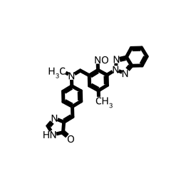 Cc1cc(CN(C)c2ccc(/C=C3\N=CNC3=O)cc2)c(N=O)c(-n2nc3ccccc3n2)c1